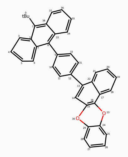 CC(C)(C)c1c2ccccc2c(-c2ccc(-c3cc4c(c5ccccc35)Oc3ccccc3O4)cc2)c2ccccc12